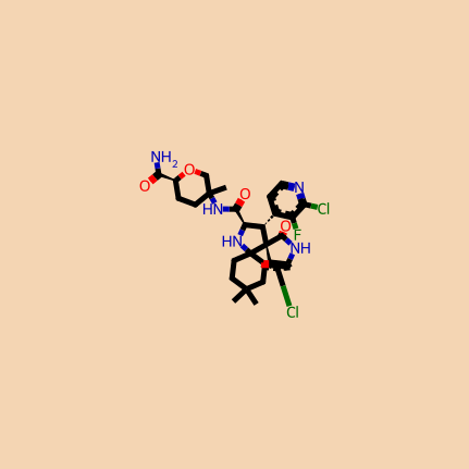 CC1(C)CCC2(CC1)N[C@@H](C(=O)NC1(C)CC[C@@H](C(N)=O)OC1)[C@H](c1ccnc(Cl)c1F)[C@]21C(=O)Nc2cc(Cl)ccc21